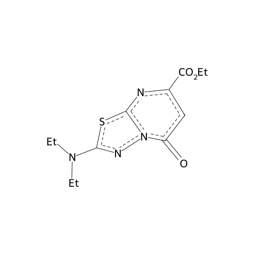 CCOC(=O)c1cc(=O)n2nc(N(CC)CC)sc2n1